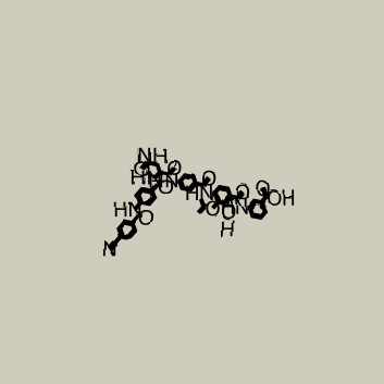 CC(C)Oc1c(NC(=O)c2ccc(NC(=O)C(CC(N)=O)NC(=O)c3ccc(NC(=O)c4ccc(C#N)cc4)cc3)cc2)ccc(C(=O)Nc2cccc(C(=O)O)c2)c1O